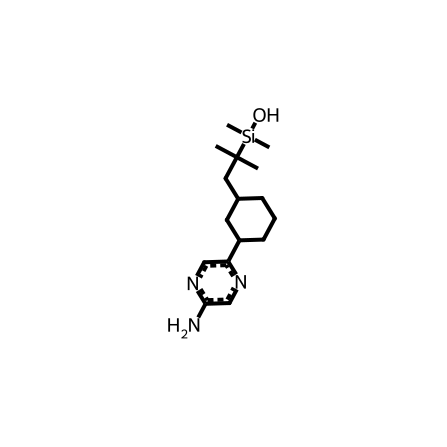 CC(C)(CC1CCCC(c2cnc(N)cn2)C1)[Si](C)(C)O